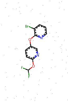 FC(F)Oc1ccc(Oc2ncccc2Br)cn1